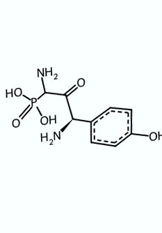 NC(C(=O)[C@H](N)c1ccc(O)cc1)P(=O)(O)O